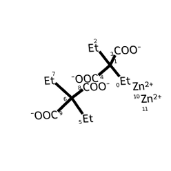 CCC(CC)(C(=O)[O-])C(=O)[O-].CCC(CC)(C(=O)[O-])C(=O)[O-].[Zn+2].[Zn+2]